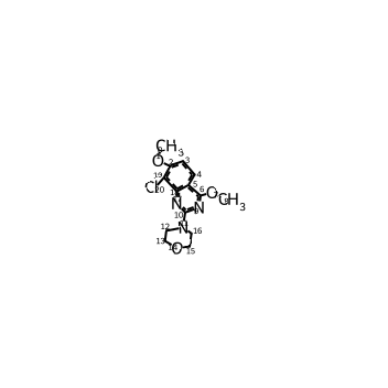 COc1ccc2c(OC)nc(N3CCOCC3)nc2c1Cl